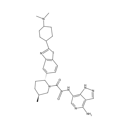 C[C@H]1CC[C@H](c2ccc3sc(C4CCC(N(C)C)CC4)nc3c2)N(C(=O)C(=O)Nc2cnc(N)c3cn[nH]c23)C1